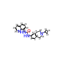 O=C(Nc1ccc2c(c1)CCN(C1CCC1)CC2)Nc1cccc2cccnc12